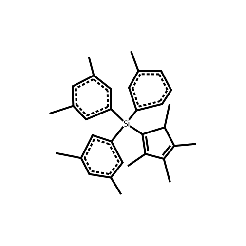 CC1=C(C)C(C)C([Si](c2cccc(C)c2)(c2cc(C)cc(C)c2)c2cc(C)cc(C)c2)=C1C